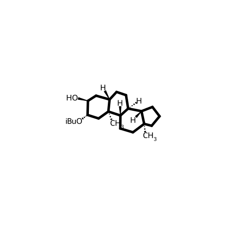 CC(C)CO[C@H]1C[C@@]2(C)[C@@H](CC[C@H]3[C@@H]4CCC[C@@]4(C)CC[C@@H]32)C[C@@H]1O